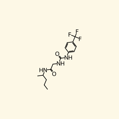 CCCC(C)NC(=O)CNC(=O)Nc1ccc(C(F)(F)F)cc1